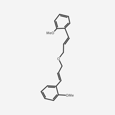 COc1ccccc1C=CCOCC=Cc1ccccc1OC